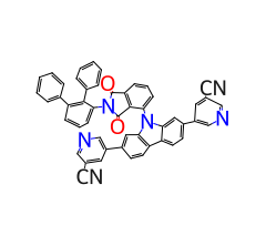 N#Cc1cncc(-c2ccc3c4ccc(-c5cncc(C#N)c5)cc4n(-c4cccc5c4C(=O)N(c4cccc(-c6ccccc6)c4-c4ccccc4)C5=O)c3c2)c1